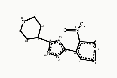 O=[N+]([O-])c1ccccc1-c1nnc(C2CCOCC2)s1